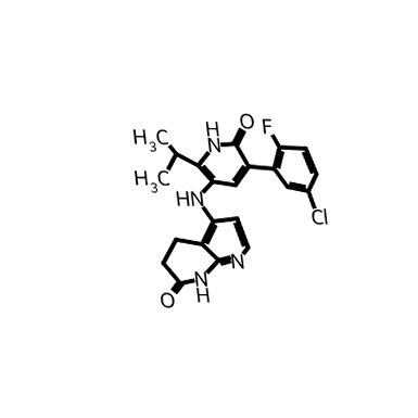 CC(C)c1[nH]c(=O)c(-c2cc(Cl)ccc2F)cc1Nc1ccnc2c1CCC(=O)N2